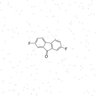 O=C1c2cc(F)c[c]c2-c2ccc(F)cc21